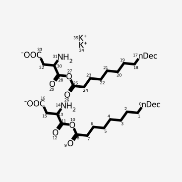 CCCCCCCCCCCCCCCCCC(=O)OC(=O)C(N)CC(=O)[O-].CCCCCCCCCCCCCCCCCC(=O)OC(=O)C(N)CC(=O)[O-].[K+].[K+]